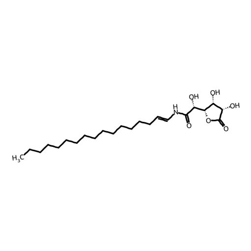 CCCCCCCCCCCCCCCC=CNC(=O)[C@H](O)[C@H]1OC(=O)[C@@H](O)[C@H]1O